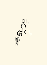 C[C@H](c1cccc(CN=[N+]=[N-])n1)[C@H]1CC[C@H](C)CC1